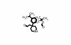 CC(C)(C)OC=O.CC(C)c1cccc(C2(CC=O)CCNCC2)c1